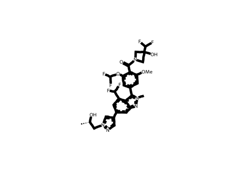 COc1cc(-c2c3c(C(F)F)cc(-c4cnn(C[C@H](C)O)c4)cc3nn2C)cc(OC(F)F)c1C(=O)N1CC(O)(C(F)F)C1